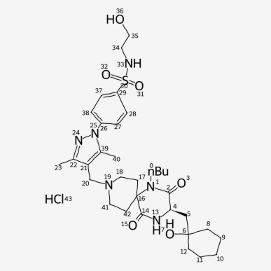 CCCCN1C(=O)[C@@H](CC2(O)CCCCC2)NC(=O)C12CCN(Cc1c(C)nn(-c3ccc(S(=O)(=O)NCCO)cc3)c1C)CC2.Cl